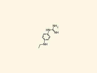 CCNc1ccc(NC(=N)N)cc1